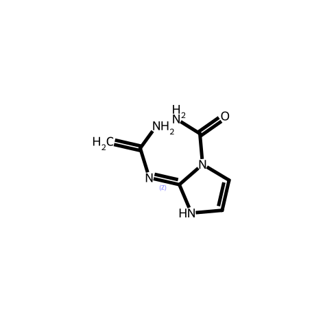 C=C(N)/N=c1/[nH]ccn1C(N)=O